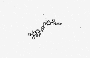 CCc1nc2ccc(C(C)N3CC(Oc4ccc(C(=O)NC)nc4F)C3)c(F)c2[nH]c1=O